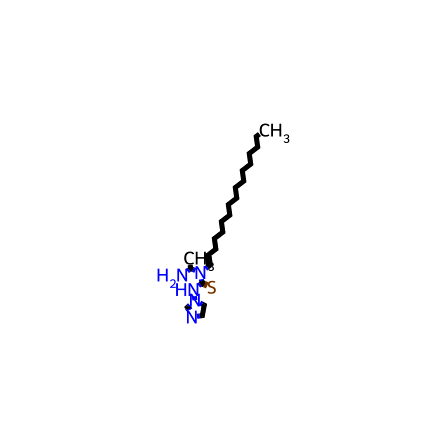 CCCCCCCCCCCCCCCC=CN(C(=S)NN1C=NCC1)C(C)N